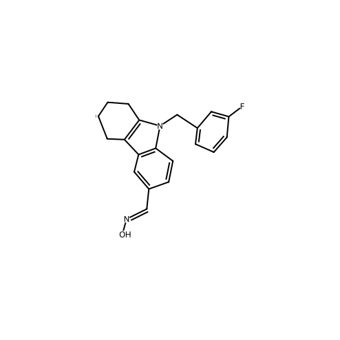 ON=Cc1ccc2c(c1)c1c(n2Cc2cccc(F)c2)CC[C]C1